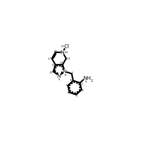 Nc1ccccc1Cn1ncc2c1CN(Cl)C=C2